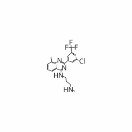 CNCCCNc1nc(-c2cc(Cl)cc(C(F)(F)F)c2)nc2c(C)cccc12